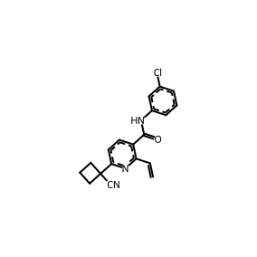 C=Cc1nc(C2(C#N)CCC2)ccc1C(=O)Nc1cccc(Cl)c1